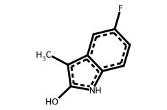 Cc1c(O)[nH]c2ccc(F)cc12